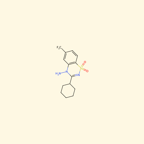 NN1C(C2CCCCC2)=NS(=O)(=O)c2ccc(C(F)(F)F)cc21